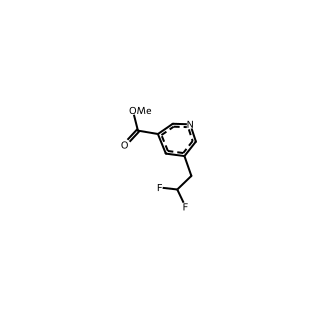 COC(=O)c1cncc(CC(F)F)c1